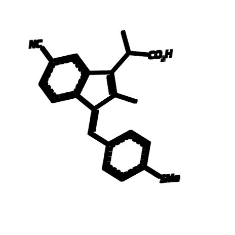 CSc1ccc(C=C2C(C)=C(C(C)C(=O)O)c3cc(C#N)ccc32)cc1